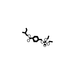 CCOP(=O)(OCC)OCc1ccc(C(=O)OCC(C)CC)cc1